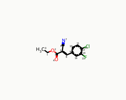 CCOC(=O)/C(C#N)=C/c1ccc(Cl)c(F)c1